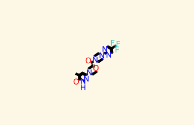 Cc1cc(N2CCO[C@H](C(=O)N3CCN(c4ncc(C(F)(F)F)cn4)CC3)C2)n[nH]c1=O